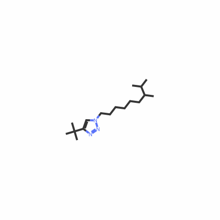 CC(C)C(C)CCCCCCn1cc(C(C)(C)C)nn1